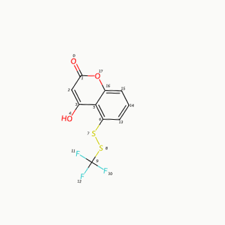 O=c1cc(O)c2c(SSC(F)(F)F)cccc2o1